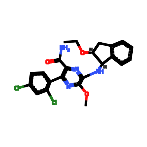 CCO[C@H]1Cc2ccccc2[C@H]1Nc1nc(C(N)=O)c(-c2ccc(Cl)cc2Cl)nc1OC